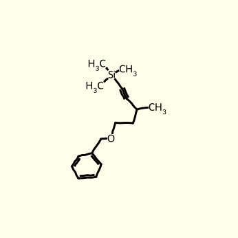 CC(C#C[Si](C)(C)C)CCOCc1ccccc1